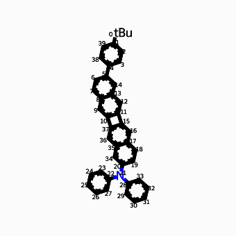 CC(C)(C)c1ccc(-c2ccc3cc4c(cc3c2)-c2cc3ccc(N(c5ccccc5)c5ccccc5)cc3cc2-4)cc1